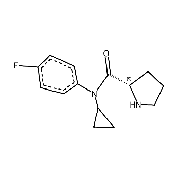 O=C([C@@H]1CCCN1)N(c1ccc(F)cc1)C1CC1